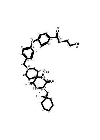 CCCCN1C(=O)[C@@H](CC2(O)CCCCC2)NC(=O)C12CCN(Cc1ccc(Oc3ccc(C(=O)NCCO)cc3)cc1)CC2